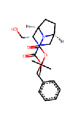 CC(C)(C)OC(=O)N1[C@H]2CC[C@@H]1[C@@H](CO)N(C(=O)OCc1ccccc1)C2